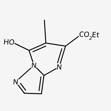 CCOC(=O)c1nc2ccnn2c(O)c1C